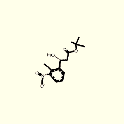 Cc1c([C@H](O)CC(=O)OC(C)(C)C)cccc1[N+](=O)[O-]